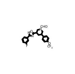 O=CN1CC(c2ccc(OC(F)(F)F)cc2)CC(c2nc(-c3cccc(F)c3)no2)C1